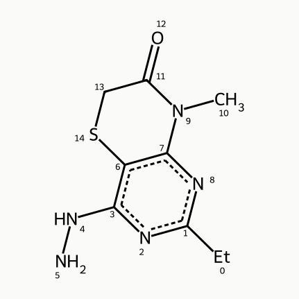 CCc1nc(NN)c2c(n1)N(C)C(=O)CS2